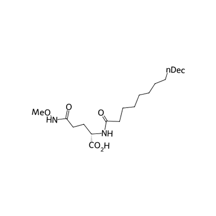 CCCCCCCCCCCCCCCCCC(=O)N[C@@H](CCC(=O)NOC)C(=O)O